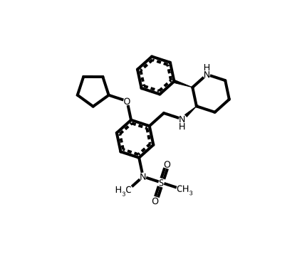 CN(c1ccc(OC2CCCC2)c(CN[C@@H]2CCCN[C@@H]2c2ccccc2)c1)S(C)(=O)=O